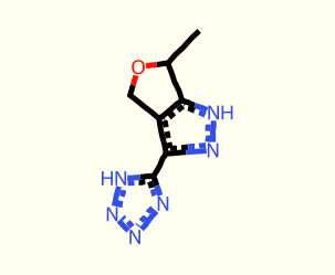 CC1OCc2c(-c3nnn[nH]3)n[nH]c21